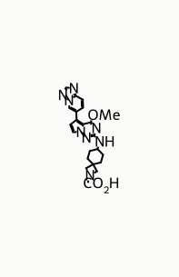 COc1nc(NC2CCC3(CC2)CN(C(=O)O)C3)nn2ccc(-c3ccc4ncnn4c3)c12